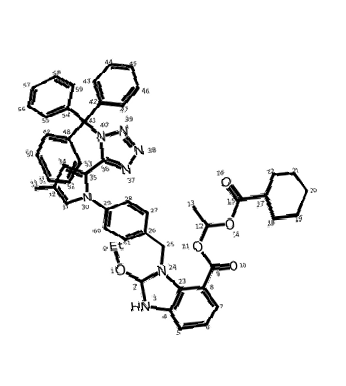 CCOC1Nc2cccc(C(=O)OC(C)OC(=O)C3CCCCC3)c2N1Cc1ccc(-n2cc(C)cc2-c2nnnn2C(c2ccccc2)(c2ccccc2)c2ccccc2)cc1